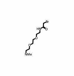 CNCCOCCOCCNC(=O)CBr